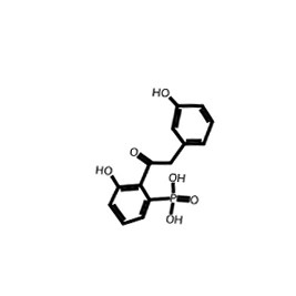 O=C(Cc1cccc(O)c1)c1c(O)cccc1P(=O)(O)O